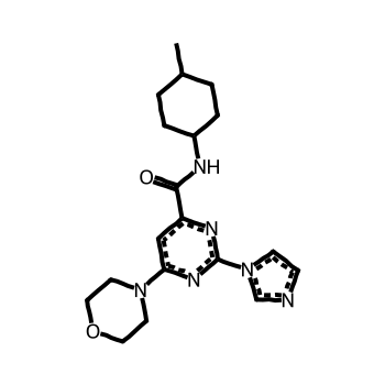 CC1CCC(NC(=O)c2cc(N3CCOCC3)nc(-n3ccnc3)n2)CC1